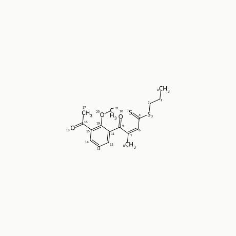 CCCSC(=S)/C=C(/C)C(=O)c1cccc(C(C)=O)c1OC